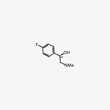 CNC[C@H](O)c1ccc(F)cc1